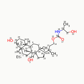 CC[C@H]1[C@@H](O)[C@@H]2[C@H](CC[C@]3(C)[C@@H]([C@H](C)CCOC(=O)NC(C)CO)CC[C@@H]23)[C@@]2(C)CC[C@@H](O)C[C@@H]12